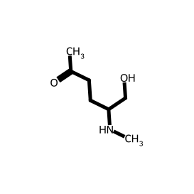 CNC(CO)CCC(C)=O